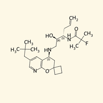 C=CC[C@H](NC(=O)C(C)(C)F)[C@H](O)CN[C@H]1CC2(CCC2)Oc2ncc(CC(C)(C)C)cc21